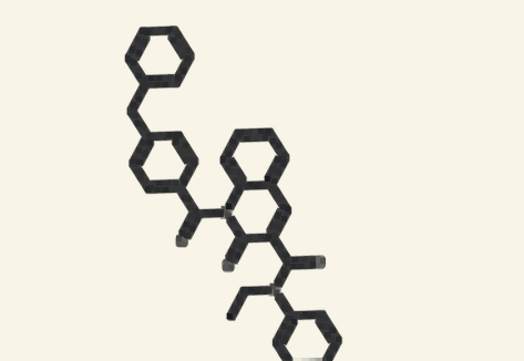 CCN(C(=O)c1cc2ccccc2n(C(=O)c2ccc(Cc3ccccc3)cc2)c1=O)c1ccc(C)cc1